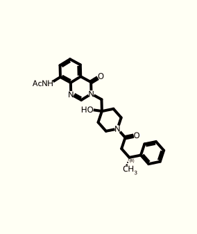 CC(=O)Nc1cccc2c(=O)n(CC3(O)CCN(C(=O)C[C@@H](C)c4ccccc4)CC3)cnc12